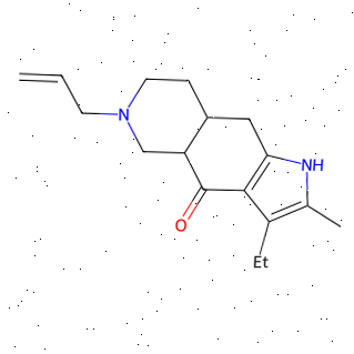 C=CCN1CCC2Cc3[nH]c(C)c(CC)c3C(=O)C2C1